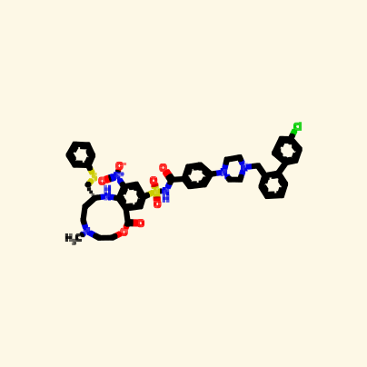 CN1CCOC(=O)c2cc(S(=O)(=O)NC(=O)c3ccc(N4CCN(Cc5ccccc5-c5ccc(Cl)cc5)CC4)cc3)cc([N+](=O)[O-])c2N[C@@H](CSc2ccccc2)CC1